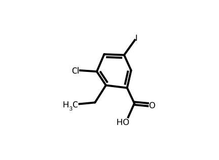 CCc1c(Cl)cc(I)cc1C(=O)O